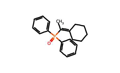 CC(=C1CCCCC1)P(=O)(c1ccccc1)c1ccccc1